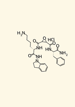 Cl.NCCCC[C@H](NC(=O)C1OC1C(=O)N[C@@H](Cc1ccccc1)C(N)=O)C(=O)NN1CCc2ccccc21